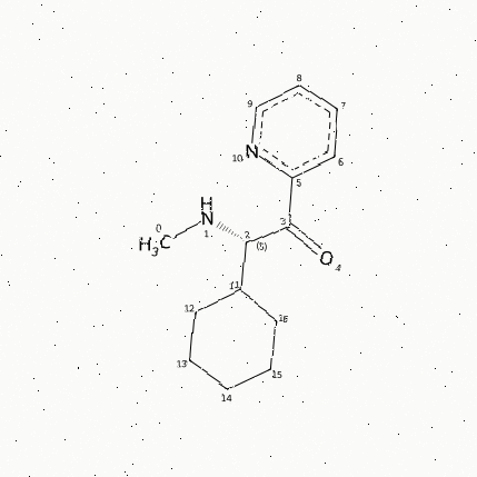 CN[C@H](C(=O)c1ccccn1)C1CCCCC1